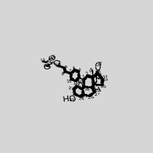 C[C@]12C[C@H](c3ccc(CCCOS(C)(=O)=O)cc3)[C@@H]3c4ccc(O)cc4CC[C@H]3[C@@H]1CCC2=O